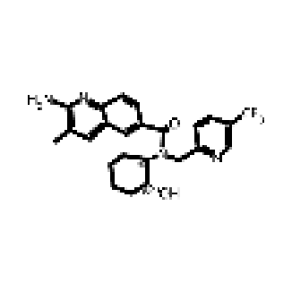 Cc1cc2cc(C(=O)N(Cc3ccc(C(F)(F)F)cn3)[C@@H]3CCCC[C@H]3O)ccc2nc1N